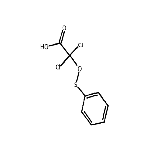 O=C(O)C(Cl)(Cl)OSc1ccccc1